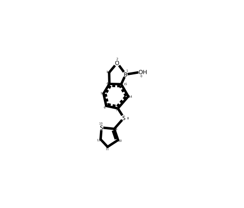 OB1OCc2ccc(SC3=CCCS3)cc21